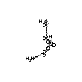 COC(=O)CCCCCCNC(=O)c1cnc(N(c2ccc(COC(=O)CCCCCCN)cc2)c2ccccc2Cl)nc1